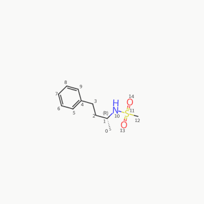 C[C@H](CCc1ccccc1)NS(C)(=O)=O